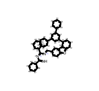 N=C(/N=C(\N=C\c1ccc2oc3cccc(-c4cc(-c5ccccc5)cc(-c5ccccc5)c4)c3c2c1)c1ccccc1)c1ccccc1